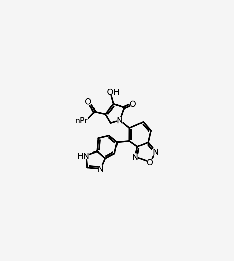 CCCC(=O)C1=C(O)C(=O)N(c2ccc3nonc3c2-c2ccc3[nH]cnc3c2)C1